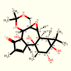 CC1=C[C@@H]2[C@@](O)(C1=O)[C@@H]1OC(C)(C)OC[C@@]13O[C@H]3[C@H]1[C@H]3C(C)(C)[C@]3(O)[C@H](O)[C@@H](C)[C@@]12O